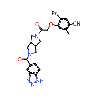 Cc1cc(OCC(=O)N2CC3CN(C(=O)c4ccc5[nH]nnc5c4)CC3C2)c(C(C)C)cc1C#N